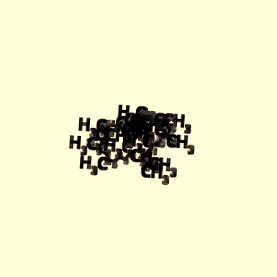 CC(C)CCCC(C)CCC(C)COC(C)(C)CCOC(C)(C)P(=O)(O)OC(C)(C)CCOC(C)(C)CC(C)CCC(C)CCCC(C)C